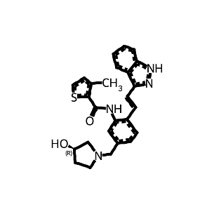 Cc1ccsc1C(=O)Nc1cc(CN2CC[C@@H](O)C2)ccc1C=Cc1n[nH]c2ccccc12